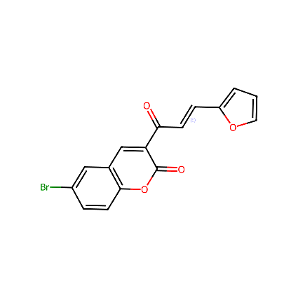 O=C(/C=C/c1ccco1)c1cc2cc(Br)ccc2oc1=O